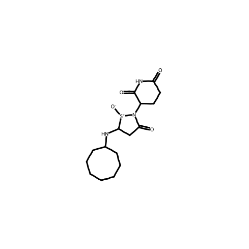 O=C1CCC(N2C(=O)CC(NC3CCCCCCC3)[S+]2[O-])C(=O)N1